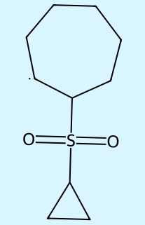 O=S(=O)(C1[CH]CCCCC1)C1CC1